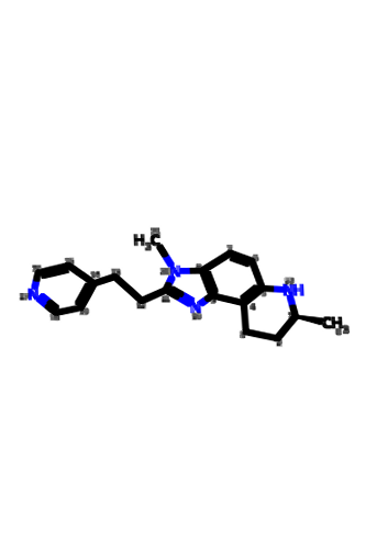 C[C@H]1CCc2c(ccc3c2nc(CCc2ccncc2)n3C)N1